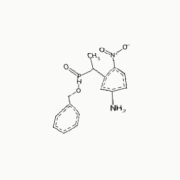 CC(c1cc(N)ccc1[N+](=O)[O-])[PH](=O)OCc1ccccc1